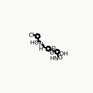 CNC(=O)c1cc(S(=O)(=O)c2ccc(CCNC[C@@H](O)c3cccc(Cl)c3)cc2)ccc1O